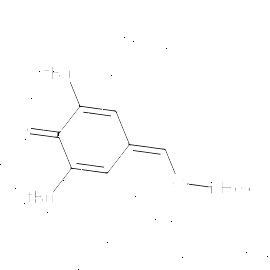 CCCCCCOC=C1C=C(C(C)(C)C)C(=O)C(C(C)(C)C)=C1